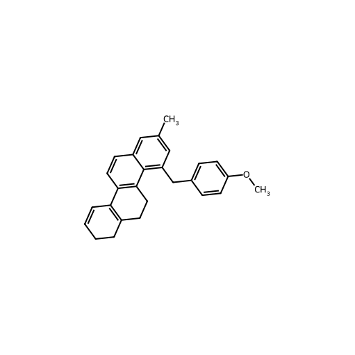 COc1ccc(Cc2cc(C)cc3ccc4c(c23)CCC2=C4C=CCC2)cc1